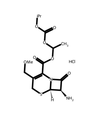 COCC1=C(C(=O)OC(C)OC(=O)OC(C)C)N2C(=O)[C@@H](N)[C@H]2SC1.Cl